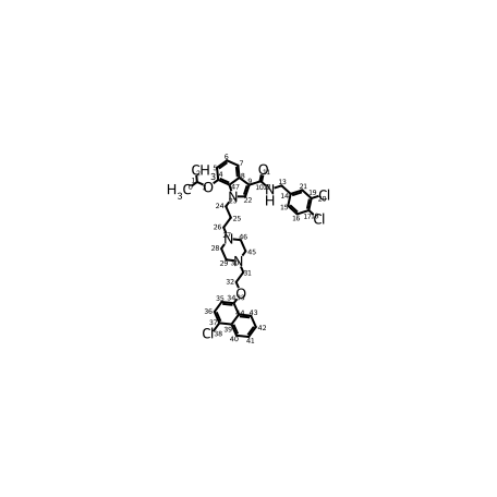 CC(C)Oc1cccc2c(C(=O)NCc3ccc(Cl)c(Cl)c3)cn(CCCN3CCN(CCOc4ccc(Cl)c5ccccc45)CC3)c12